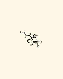 CCCCS(=O)(=O)C(C)C(C)(C)C